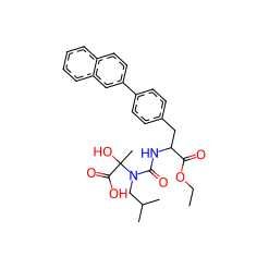 CCOC(=O)C(Cc1ccc(-c2ccc3ccccc3c2)cc1)NC(=O)N(CC(C)C)C(C)(O)C(=O)O